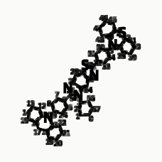 c1ccc(-n2c(-c3ccc(N4c5ccccc5Cc5ccccc54)cc3)nc3cc4sc(-c5ccc(N6c7ccccc7Sc7ccccc76)cc5)nc4cc32)cc1